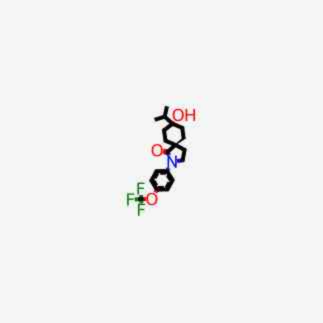 CC(C)[C@]1(O)CC[C@]2(CCN(c3ccc(OC(F)(F)F)cc3)C2=O)CC1